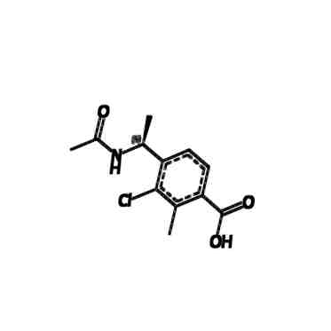 CC(=O)N[C@@H](C)c1ccc(C(=O)O)c(C)c1Cl